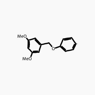 COc1cc(COc2cc[c]cc2)cc(OC)c1